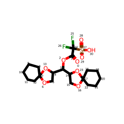 O=C(OC(C1COC2(CCCCC2)O1)C1COC2(CCCCC2)O1)C(F)(F)S(=O)(=O)O